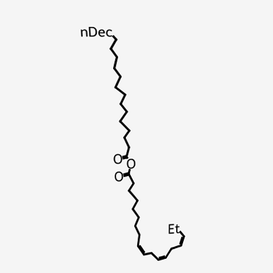 CC/C=C\C/C=C\C/C=C\CCCCCCCC(=O)OC(=O)CCCCCCCCCCCCCCCCCCCCCCC